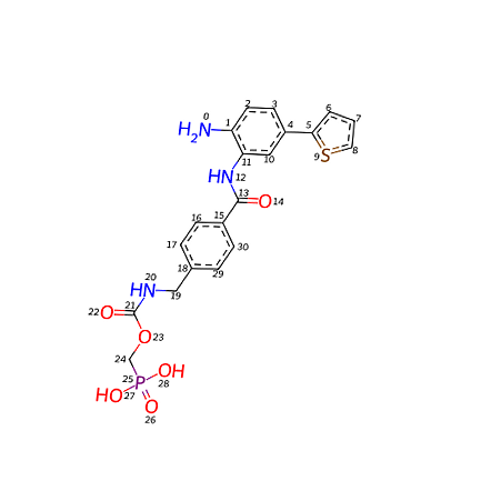 Nc1ccc(-c2cccs2)cc1NC(=O)c1ccc(CNC(=O)OCP(=O)(O)O)cc1